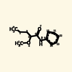 CCCC(OC)C(=O)Nc1ccccc1